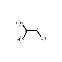 NC(P)CO